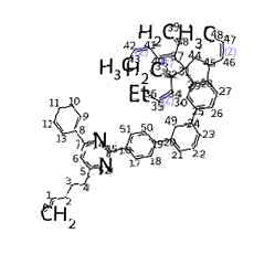 C=CCCCc1cc(C2=CCCC=C2)nc(-c2ccc(C3=CC=CC(c4ccc5c(c4)C(C(=C)/C=C\CC)(/C(C=C)=C/C=C\C)CC5/C=C\C)C3)cc2)n1